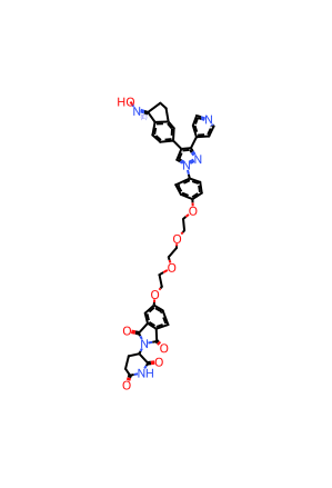 O=C1CCC(N2C(=O)c3ccc(OCCOCCOCCOc4ccc(-n5cc(-c6ccc7c(c6)CC/C7=N\O)c(-c6ccncc6)n5)cc4)cc3C2=O)C(=O)N1